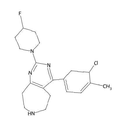 CC1=CC=C(c2nc(N3CCC(F)CC3)nc3c2CCNCC3)CC1Cl